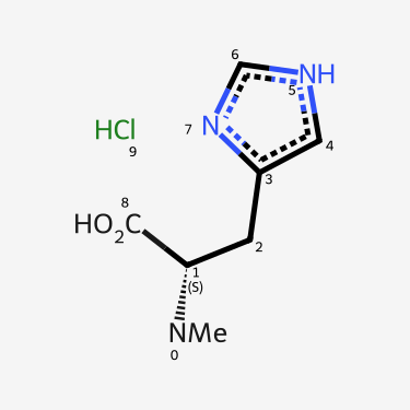 CN[C@@H](Cc1c[nH]cn1)C(=O)O.Cl